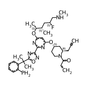 C#CC[C@@H]1C[C@@H](Oc2cc(O[C@@H](C)[C@@H](C)C[C@H](F)CNC)nc(-c3noc(C(C)(C)c4ccccc4P)n3)n2)CCN1C(=O)C=C